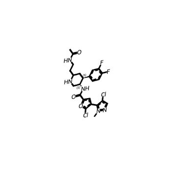 CC(=O)NCCC1C[C@@H](c2ccc(F)c(F)c2)[C@H](NC(=O)c2cc(-c3c(Cl)cnn3C)c(Cl)o2)CN1